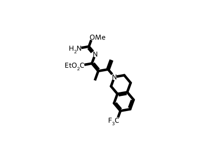 C=C(/C(C)=C(\N=C(/N)OC)C(=O)OCC)N1CCc2ccc(C(F)(F)F)cc2C1